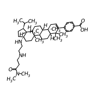 CC(C)[C@@H]1CC[C@]2(NCCNCCC(=O)N(C)C)CC[C@]3(C)[C@H](CC[C@@H]4[C@@]5(C)CC=C(c6ccc(C(=O)O)cc6)C(C)(C)[C@@H]5CC[C@]43C)[C@@H]12